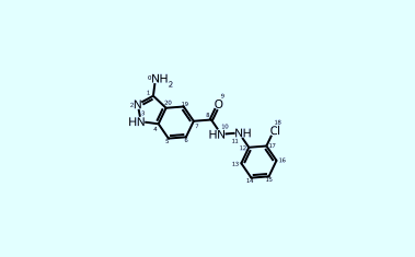 Nc1n[nH]c2ccc(C(=O)NNc3ccccc3Cl)cc12